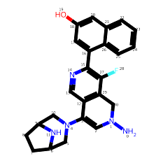 NN1C=C(N2CC3CCC(C2)N3)c2cnc(-c3cc(O)cc4ccccc34)c(F)c2C1